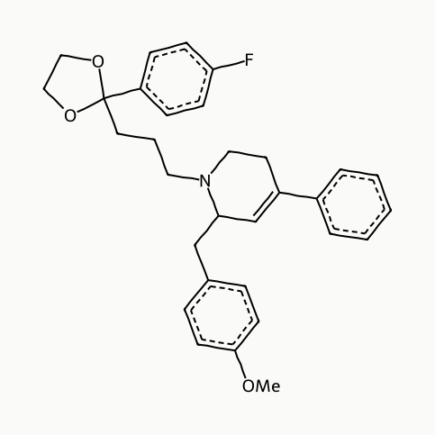 COc1ccc(CC2C=C(c3ccccc3)CCN2CCCC2(c3ccc(F)cc3)OCCO2)cc1